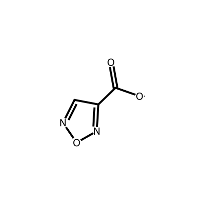 [O]C(=O)c1cnon1